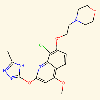 COc1cc(Oc2nnc(C)[nH]2)nc2c(Cl)c(OCCN3CCOCC3)ccc12